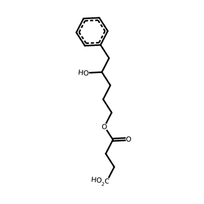 O=C(O)CCC(=O)OCCCC(O)Cc1ccccc1